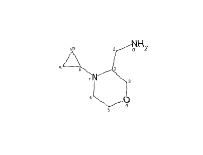 NCC1COCCN1C1CC1